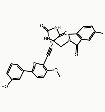 COc1ccc(-c2cccc(O)c2)nc1C#C[C@]1(CN2Cc3ccc(C)cc3C2=O)NC(=O)NC1=O